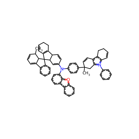 CC1C=CC=C2c3ccccc3C3(C4=C(CCC=C4)C4C=CC(N(c5ccc(C6(C)C=Cc7c8c(n(-c9ccccc9)c7C6)C=CCC8)cc5)c5cccc6c5oc5ccccc56)=CC43)C21